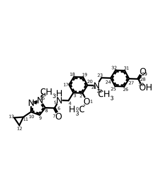 COc1c(CNC(=O)c2cc(C3CC3)nn2C)cccc1N(C)Cc1ccc(C(=O)O)cc1